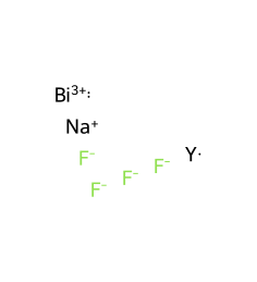 [Bi+3].[F-].[F-].[F-].[F-].[Na+].[Y]